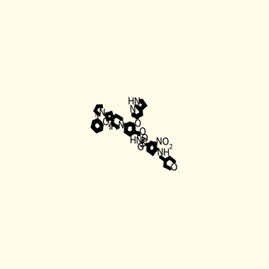 CC(C)Oc1ccccc1[C@@H]1CCCN1C1CC2(CCN(c3ccc(C(=O)NS(=O)(=O)c4ccc(NCC5CCOCC5)c([N+](=O)[O-])c4)c(Oc4cnc5[nH]ccc5c4)c3)CC2)C1